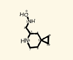 ONCC1CC2(CCN1)CC2